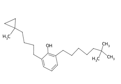 CC(C)(C)CCCCCc1cccc(CCCCC2(C)CC2)c1O